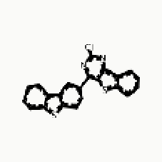 Clc1nc(-c2ccc3sc4ccccc4c3c2)c2sc3ccccc3c2n1